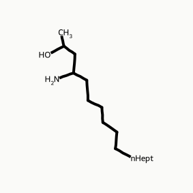 CCCCCCCCCCCCCC(N)CC(C)O